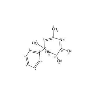 CC1=CC(O)(c2ccccc2)NC(C#N)C(C#N)=N1